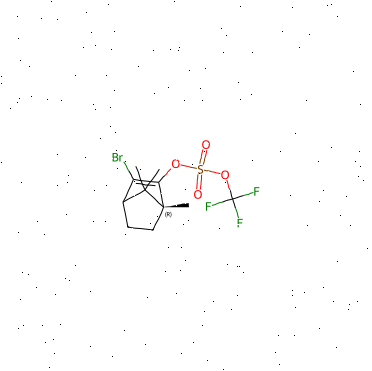 CC1(C)C2CC[C@@]1(C)C(OS(=O)(=O)OC(F)(F)F)=C2Br